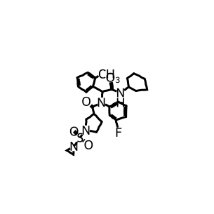 Cc1ccccc1C(C(=O)NC1CCCCC1)N(C(=O)C1CCN(S(=O)(=O)N2CC2)C1)c1cccc(F)c1